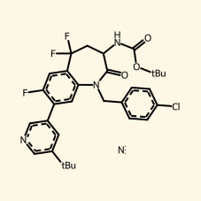 CC(C)(C)OC(=O)NC1CC(F)(F)c2cc(F)c(-c3cncc(C(C)(C)C)c3)cc2N(Cc2ccc(Cl)cc2)C1=O.[N]